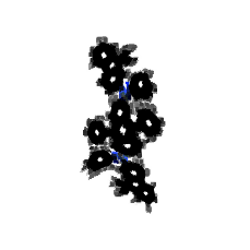 CC1(C)c2ccccc2-c2ccc(N(c3ccccc3)c3ccc4c(-c5ccccc5)c5cc(N(c6ccccc6)c6ccc7c(c6)C(C)(C)c6ccccc6-7)ccc5c(-c5ccccc5)c4c3)cc21